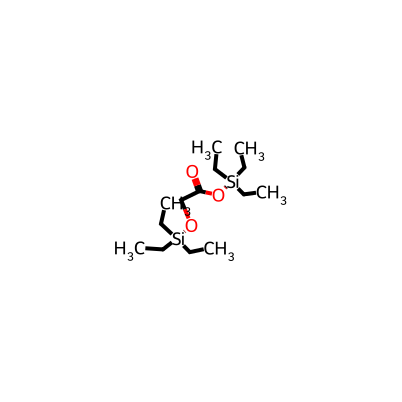 CC[Si](CC)(CC)OCC(=O)O[Si](CC)(CC)CC